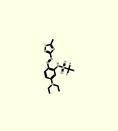 CCN(CC)c1ccc(N=Nc2nsc(C)n2)c(NS(=O)(=O)C(F)(F)F)c1